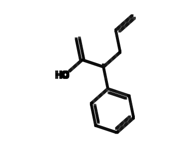 C=CC[C](C(=C)O)c1ccccc1